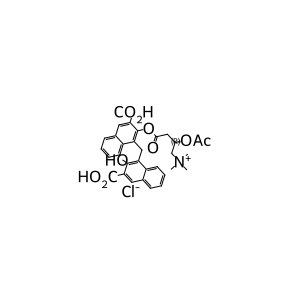 CC(=O)O[C@H](CC(=O)Oc1c(C(=O)O)cc2ccccc2c1Cc1c(O)c(C(=O)O)cc2ccccc12)C[N+](C)(C)C.[Cl-]